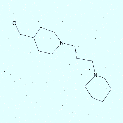 [O]CC1CCN(CCCN2CCCCC2)CC1